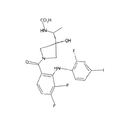 CC(NC(=O)O)C1(O)CN(C(=O)c2ccc(F)c(F)c2Nc2ccc(I)cc2F)C1